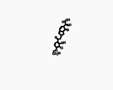 CCOC(=O)COc1ccc(C(=O)CN2C=C3C=CC(C(=N)NO)C(=O)C3C2)c(O)c1Cl